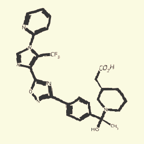 C[C@@](O)(c1ccc(-c2noc(-c3ncn(-c4ccccn4)c3C(F)(F)F)n2)cc1)N1CCC[C@H](CC(=O)O)C1